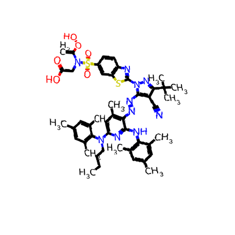 C=C(OO)N(CC(=O)O)S(=O)(=O)c1ccc2nc(-n3nc(C(C)(C)C)c(C#N)c3N=Nc3c(C)cc(N(CCCC)c4c(C)cc(C)cc4C)nc3Nc3c(C)cc(C)cc3C)sc2c1